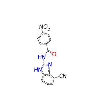 N#Cc1cccc2[nH]c(NC(=O)c3ccc([N+](=O)[O-])cc3)nc12